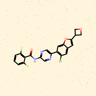 O=C(Nc1cnc(-c2cc3oc(C4COC4)cc3cc2Cl)cn1)c1c(F)cccc1F